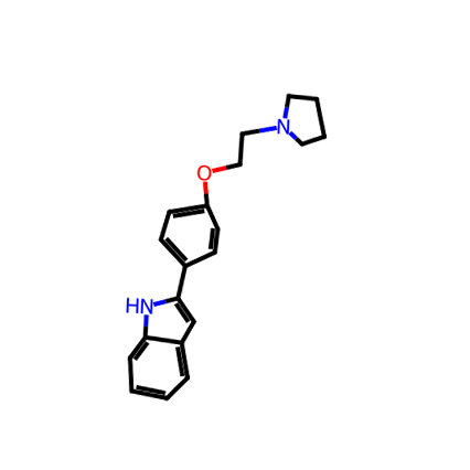 c1ccc2[nH]c(-c3ccc(OCCN4CCCC4)cc3)cc2c1